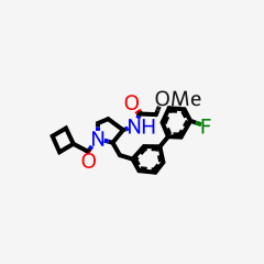 COCC(=O)NC1CCN(C(=O)C2CCC2)C1Cc1cccc(-c2cccc(F)c2)c1